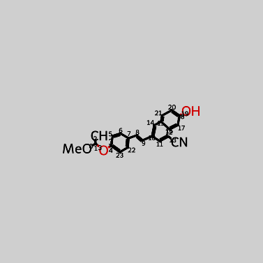 COC(C)Oc1ccc(C=CC(C=CC#N)=Cc2ccc(O)cc2)cc1